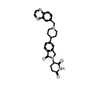 O=C1CCC(N2Cc3cc(C4CCN(Cc5ccc6nccnc6c5)CC4)ccc3C2=O)C(=O)N1